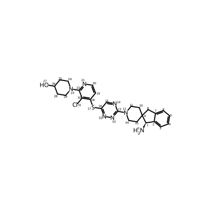 N[C@@H]1c2ccccc2CC12CCN(c1ncc(Sc3ccnc(N4CCC(O)CC4)c3Cl)nn1)CC2